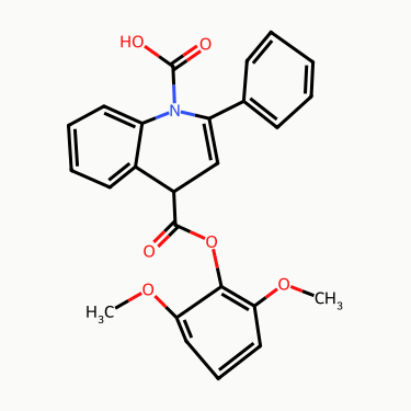 COc1cccc(OC)c1OC(=O)C1C=C(c2ccccc2)N(C(=O)O)c2ccccc21